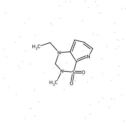 CCN1CN(C)S(=O)(=O)c2ncccc21